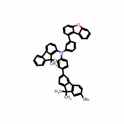 CC(C)(C)c1ccc2c(c1)C(C)(C)c1ccc(-c3ccc(N(c4cccc(-c5cccc6oc7ccccc7c56)c4)c4cccc5c4C(C)(C)c4ccccc4-5)cc3)cc1-2